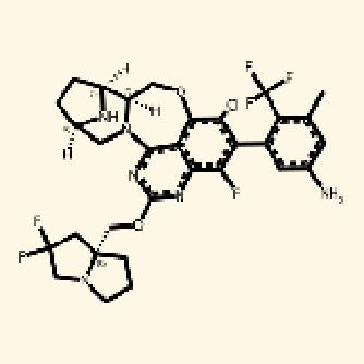 Cc1cc(N)cc(-c2c(Cl)c3c4c(nc(OC[C@]56CCCN5CC(F)(F)C6)nc4c2F)N2C[C@H]4CC[C@H](N4)[C@H]2CO3)c1C(F)(F)F